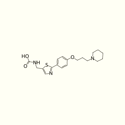 O=C(O)NCc1cnc(-c2ccc(OCCCN3CCCCC3)cc2)s1